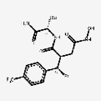 CC[C@@H](c1ccc(C(F)(F)F)cc1)C(CC(=O)NO)C(=O)N[C@H](C(N)=O)C(C)(C)C